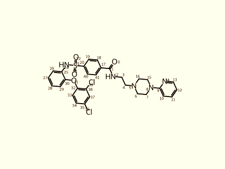 O=C(NCCN1CCN(c2ccccn2)CC1)c1ccc(S(=O)(=O)Nc2ccccc2Oc2ccc(Cl)cc2Cl)cc1